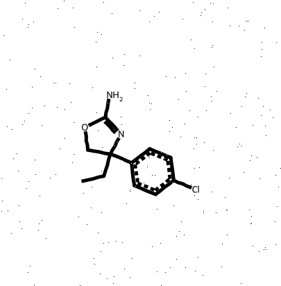 CCC1(c2ccc(Cl)cc2)COC(N)=N1